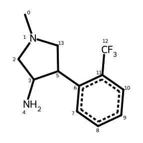 CN1CC(N)C(c2ccccc2C(F)(F)F)C1